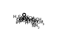 CC(C)OC(=O)[C@@H](C)N[P@@](=S)(Oc1ccccc1)OC1[C@H]2O[C@@H](n3cnc4c(N(C)C)nc(N)nc43)[C@](C)(F)[C@@]12O